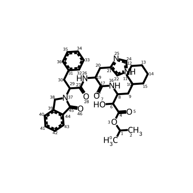 CC(C)OC(=O)C(O)C(CC1CCCCC1)NC(=O)C(Cc1c[nH]cn1)NC(=O)C(Cc1ccccc1)N1Cc2ccccc2C1=O